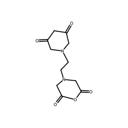 O=C1CC(=O)CN(CCN2CC(=O)OC(=O)C2)C1